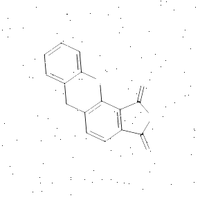 O=C1OC(=O)c2c1ccc1c2Oc2ccccc2C1